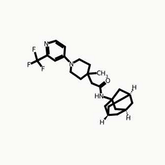 CC1(CC(=O)NC23C[C@H]4C[C@H](C2)C[C@@H](C3)C4)CCN(c2ccnc(C(F)(F)F)c2)CC1